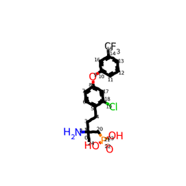 CC(N)(CCc1ccc(Oc2cccc(C(F)(F)F)c2)cc1Cl)CP(=O)(O)O